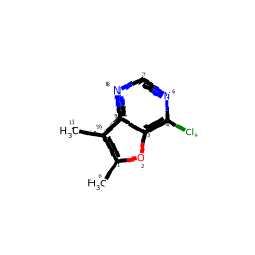 Cc1oc2c(Cl)ncnc2c1C